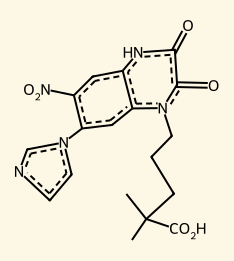 CC(C)(CCCn1c(=O)c(=O)[nH]c2cc([N+](=O)[O-])c(-n3ccnc3)cc21)C(=O)O